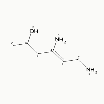 CC(O)CC(N)=CCN